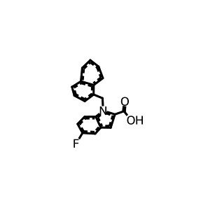 O=C(O)c1cc2cc(F)ccc2n1Cc1cccc2ccccc12